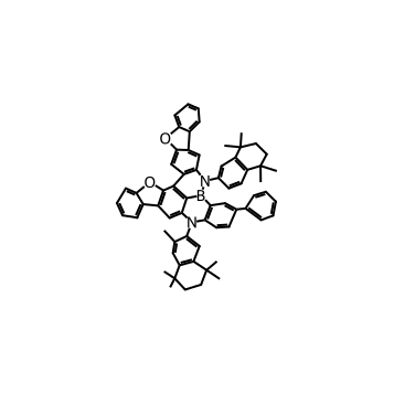 Cc1cc2c(cc1N1c3ccc(-c4ccccc4)cc3B3c4c1cc1c(oc5ccccc51)c4-c1cc4oc5ccccc5c4cc1N3c1ccc3c(c1)C(C)(C)CCC3(C)C)C(C)(C)CCC2(C)C